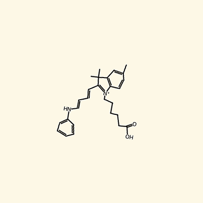 Cc1ccc2c(c1)C(C)(C)C(/C=C/C=C/Nc1ccccc1)=[N+]2CCCCCC(=O)O